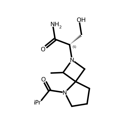 CC(C)C(=O)N1CCCC12CN([C@@H](CO)C(N)=O)C2C